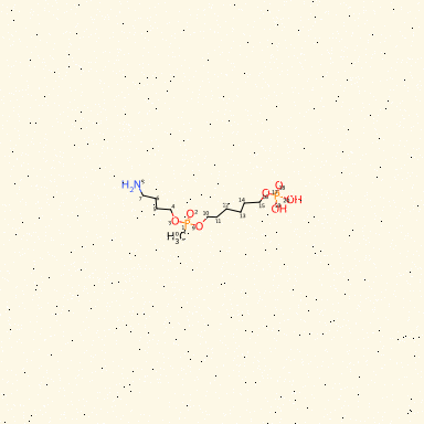 CP(=O)(OCCCCN)OCCCCCCOP(=O)(O)O